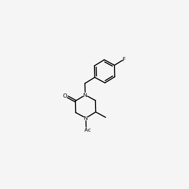 CC(=O)N1CC(=O)N(Cc2ccc(F)cc2)CC1C